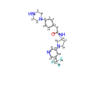 O=C(Cc1ccc(N2CCNCC2)cc1)NC1CCN(c2cncc(C(F)(F)F)c2)C1